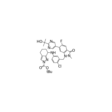 Cn1c(=O)c2cc(F)c(-c3cnc(C(C)(C)O)nc3)cc2n1Cc1cc(NC2CCCc3cn(C(=O)OC(C)(C)C)nc32)ccc1Cl